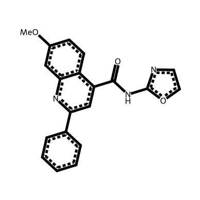 COc1ccc2c(C(=O)Nc3ncco3)cc(-c3ccccc3)nc2c1